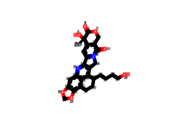 CC[C@@]1(O)C(=O)OCc2c1cc1n(c2=O)Cc2c-1nc1cc3c(c4c1c2C(CCCCO)CC4)OCO3